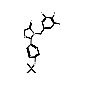 CC(C)(C)Oc1ccc(C2SCC(=O)N2Cc2cc(F)c(F)c(F)c2)cc1